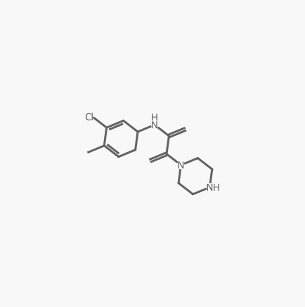 C=C(NC1C=C(Cl)C(C)=CC1)C(=C)N1CCNCC1